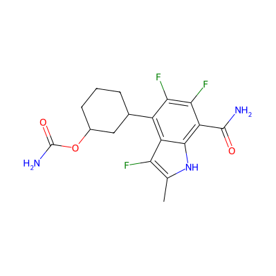 Cc1[nH]c2c(C(N)=O)c(F)c(F)c(C3CCCC(OC(N)=O)C3)c2c1F